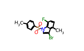 Cc1ccc(S(=O)(=O)n2cc(Br)c3c(C)ccc(F)c32)cc1